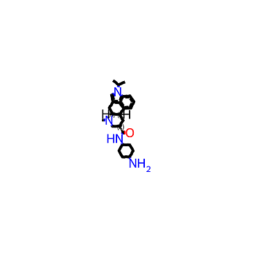 CC(C)n1cc2c3c(cccc31)[C@H]1C[C@@H](C(=O)NC3CCC(N)CC3)CN(C)[C@@H]1C2